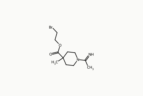 CC(=N)N1CCC(C)(C(=O)OCCBr)CC1